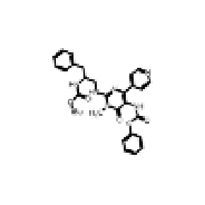 Cn1c(NCC(Cc2ccccc2)NC(=O)OC(C)(C)C)nc(-c2ccncc2)c(NC(=O)Oc2ccccc2)c1=O